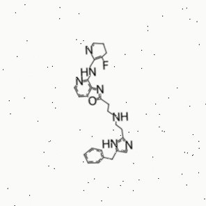 FC1=C(CNc2nccc3oc(CCNCCc4ncc(Cc5ccccc5)[nH]4)nc23)N=CCC1